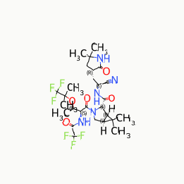 C[C@@H](OC(C)(C)C(F)(F)F)[C@H](NC(=O)C(F)(F)F)C(=O)N1C[C@H]2[C@@H]([C@H]1C(=O)N[C@H](C#N)C[C@@H]1CC(C)(C)NC1=O)C2(C)C